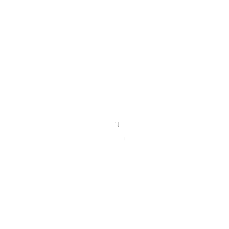 CC[N+]1(C)C=CC=C1